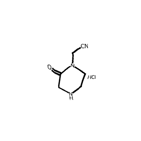 Cl.N#CCN1CCNCC1=O